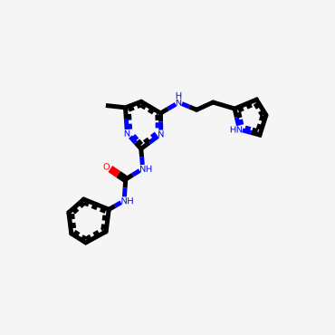 Cc1cc(NCCc2ccc[nH]2)nc(NC(=O)Nc2ccccc2)n1